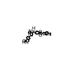 CN(C)c1ccc(CNS(=O)(=O)c2ccc(Nc3ccc(-c4ccc5c(c4)CNC5=O)n4ccnc34)cc2)cc1